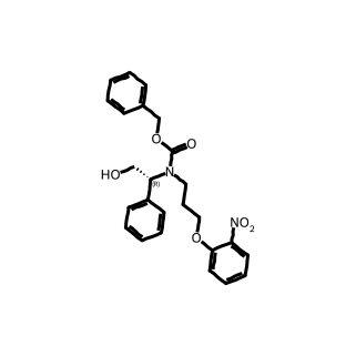 O=C(OCc1ccccc1)N(CCCOc1ccccc1[N+](=O)[O-])[C@@H](CO)c1ccccc1